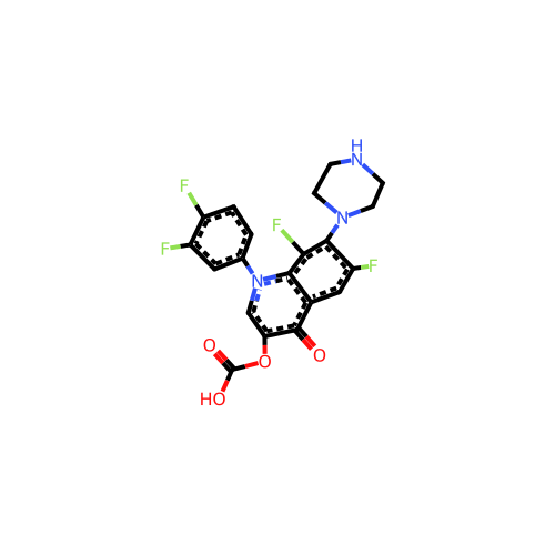 O=C(O)Oc1cn(-c2ccc(F)c(F)c2)c2c(F)c(N3CCNCC3)c(F)cc2c1=O